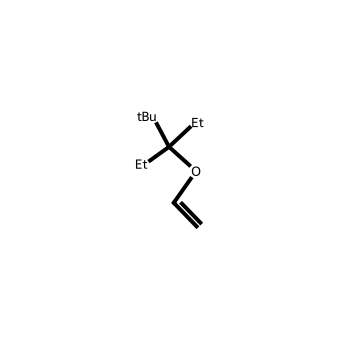 C=COC(CC)(CC)C(C)(C)C